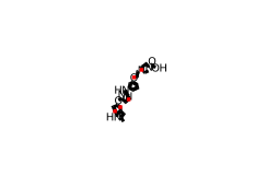 Cc1cc2cc(Oc3ccnc(Nc4cccc(OCCN5CCN(C(=O)O)CC5)c4)n3)ccc2[nH]1